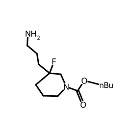 CCCCOC(=O)N1CCCC(F)(CCCN)C1